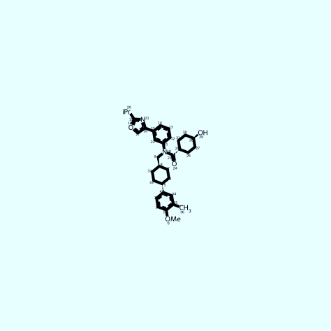 COc1ccc([C@H]2CC[C@H](CN(c3cccc(-c4coc(C(C)C)n4)c3)C(=O)[C@H]3CC[C@H](O)CC3)CC2)cc1C